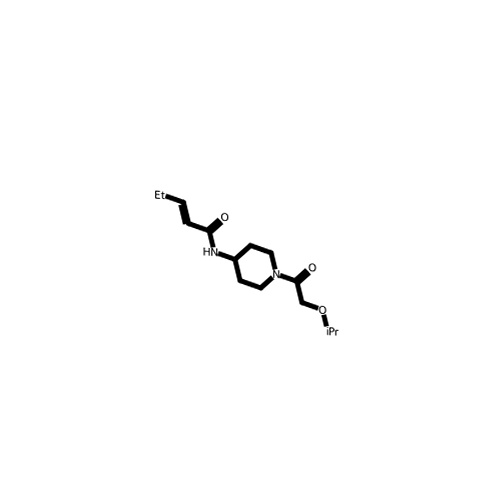 CC/C=C/C(=O)NC1CCN(C(=O)COC(C)C)CC1